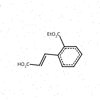 CCOC(=O)c1ccccc1C=CC(=O)O